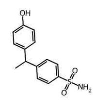 CC(c1ccc(O)cc1)c1ccc(S(N)(=O)=O)cc1